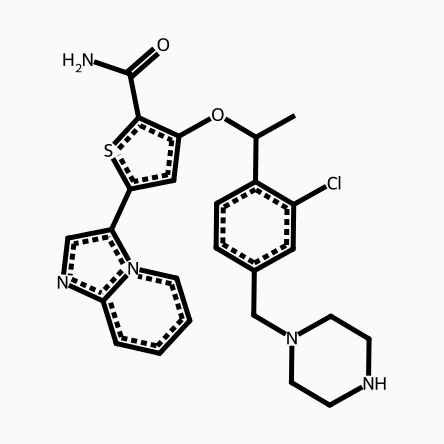 CC(Oc1cc(-c2cnc3ccccn23)sc1C(N)=O)c1ccc(CN2CCNCC2)cc1Cl